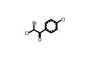 O=C(c1ccc(Cl)cc1)C(Cl)Br